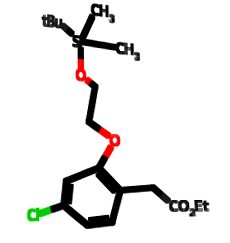 CCOC(=O)Cc1ccc(Cl)cc1OCCO[Si](C)(C)C(C)(C)C